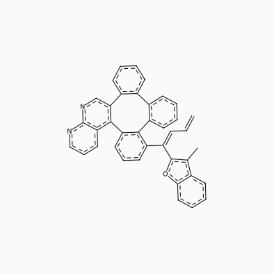 C=C/C=C(/c1cccc2c1-c1ccccc1-c1ccccc1-c1cnc3ncccc3c1-2)c1oc2ccccc2c1C